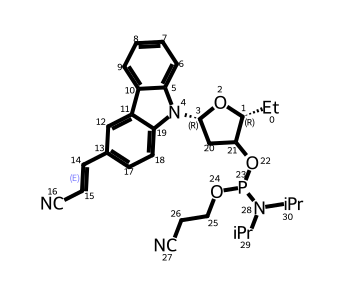 CC[C@H]1O[C@@H](n2c3ccccc3c3cc(/C=C/C#N)ccc32)CC1OP(OCCC#N)N(C(C)C)C(C)C